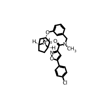 CN(Cc1cccc(O[C@@H]2C[C@H]3CC[C@@H](C2)N3C)c1)C(=O)c1cc(-c2ccc(Cl)cc2)on1